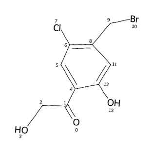 O=C(CO)c1cc(Cl)c(CBr)cc1O